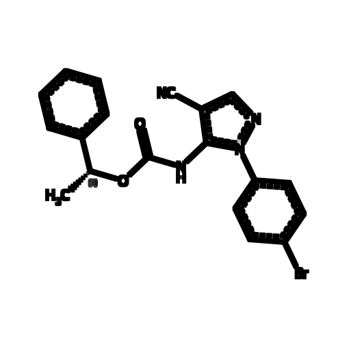 C[C@@H](OC(=O)Nc1c(C#N)cnn1-c1ccc(Br)cc1)c1ccccc1